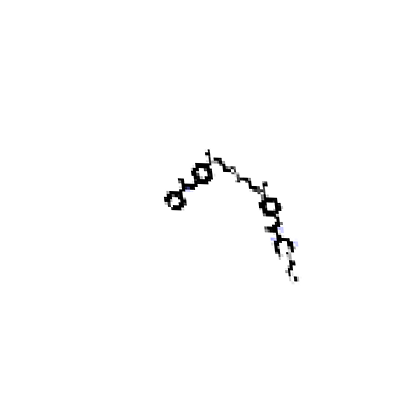 C/C=C(\C=C/NCCO)C(/C)=C/c1ccc(N(C)CCSSCCN(C)c2ccc(/C=C(\C)c3ccncc3)cc2)cc1